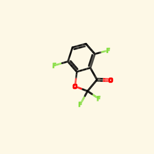 O=C1c2c(F)ccc(F)c2OC1(F)F